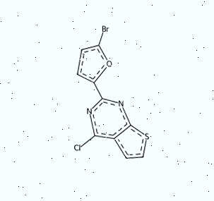 Clc1nc(-c2ccc(Br)o2)nc2sccc12